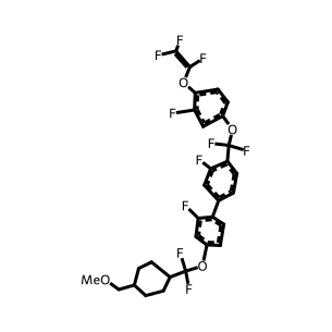 COCC1CCC(C(F)(F)Oc2ccc(-c3ccc(C(F)(F)Oc4ccc(OC(F)=C(F)F)c(F)c4)c(F)c3)c(F)c2)CC1